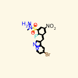 CN(N)S(=O)(=O)C1=CC([N+](=O)[O-])=CC(=Cc2cnn3ccc(Br)cc23)C1F